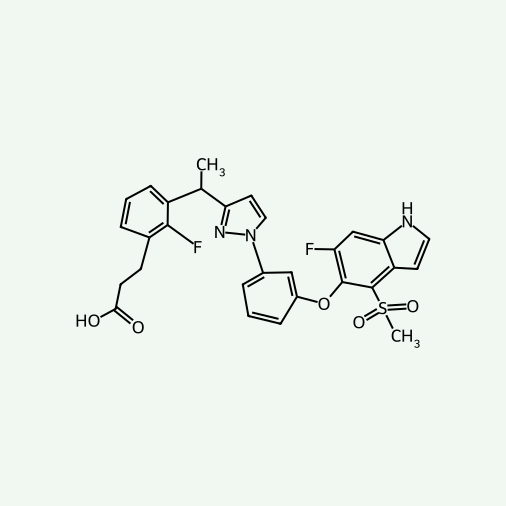 CC(c1ccn(-c2cccc(Oc3c(F)cc4[nH]ccc4c3S(C)(=O)=O)c2)n1)c1cccc(CCC(=O)O)c1F